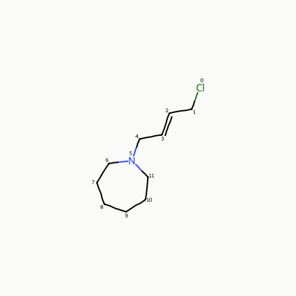 ClCC=CCN1CCCCCC1